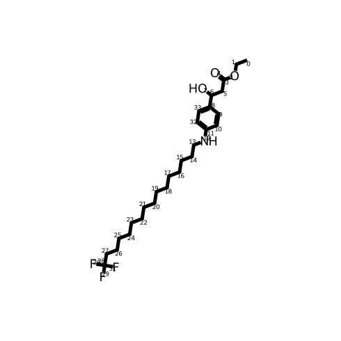 CCOC(=O)CC(O)c1ccc(NCCCCCCCCCCCCCCCC(F)(F)F)cc1